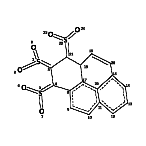 O=S(=O)=C1C(=S(=O)=O)c2ccc3cccc4c3c2C(C=C4)C1=S(=O)=O